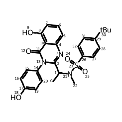 CC(c1nc2cccc(O)c2c(=O)n1-c1ccc(O)cc1)N(C)S(=O)(=O)c1ccc(C(C)(C)C)cc1